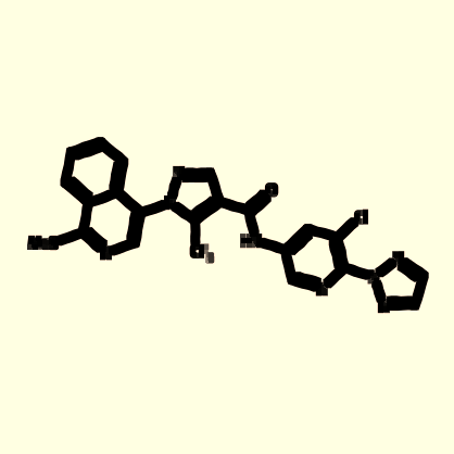 CSc1ncc(-n2ncc(C(=O)Nc3cnc(-n4nccn4)c(Cl)c3)c2C(F)(F)F)c2ccccc12